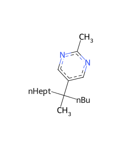 CCCCCCCC(C)(CCCC)c1cnc(C)nc1